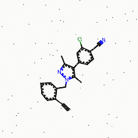 C#Cc1ccccc1Cn1nc(C)c(-c2ccc(C#N)c(Cl)c2)c1C